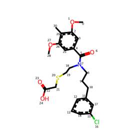 COc1cc(C(=O)N(CCCc2cccc(Cl)c2)CCSCC(=O)O)cc(OC)c1C